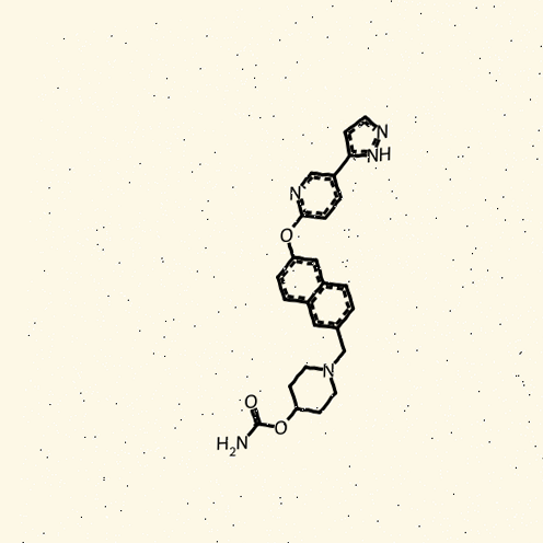 NC(=O)OC1CCN(Cc2ccc3cc(Oc4ccc(-c5ccn[nH]5)cn4)ccc3c2)CC1